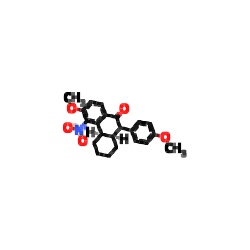 COc1ccc(C2C(=O)c3ccc(OC)c([N+](=O)[O-])c3[C@@H]3CCCC[C@H]23)cc1